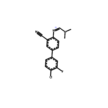 CN(C)/C=N\c1ccc(-c2ccc(Cl)c(F)c2)cc1C#N